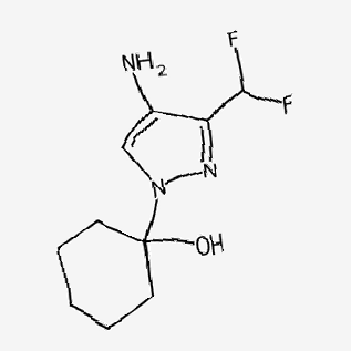 Nc1cn(C2(O)CCCCC2)nc1C(F)F